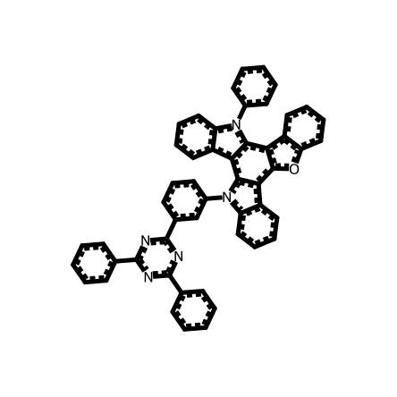 c1ccc(-c2nc(-c3ccccc3)nc(-c3cccc(-n4c5ccccc5c5c6oc7ccccc7c6c6c(c7ccccc7n6-c6ccccc6)c54)c3)n2)cc1